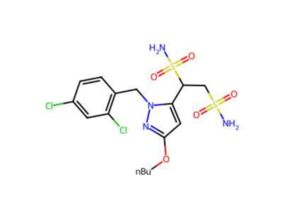 CCCCOc1cc(C(CS(N)(=O)=O)S(N)(=O)=O)n(Cc2ccc(Cl)cc2Cl)n1